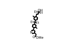 CCC(O)(C=Cc1ccc(C(CC)(CC)c2ccc(-c3cncc(CC(=O)OC)c3)c(C)c2)cc1C)CC